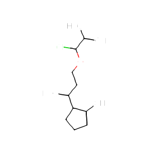 CC(C)C(Cl)OCCC(C)C1CCCC1C